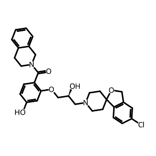 O=C(c1ccc(O)cc1OC[C@@H](O)CN1CCC2(CC1)OCc1cc(Cl)ccc12)N1CCc2ccccc2C1